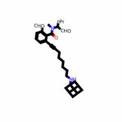 CCCC(C=O)N(C)C(=O)c1c(C#CCCCCCCNC23CC4CC5CC(C2)C543)cccc1C=O